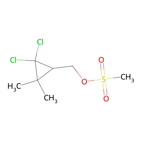 CC1(C)C(COS(C)(=O)=O)C1(Cl)Cl